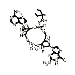 CCC(C)(CC)NS[P@@]1(=O)OC[C@H]2O[C@@H](n3cnc4c(=O)[nH]c(N)nc43)[C@H](F)[C@@H]2O[P@](=O)(S)OC[C@H]2O[C@@H](n3cnc4c(N)ncnc43)[C@H](O1)[C@@H]2O